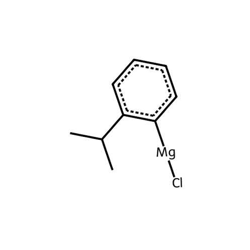 CC(C)c1cccc[c]1[Mg][Cl]